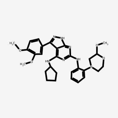 COc1ccc(-c2n[nH]c3nc(Nc4ccccc4N4CCOC(OC)C4)nc(NC4CCCC4)c23)cc1OC